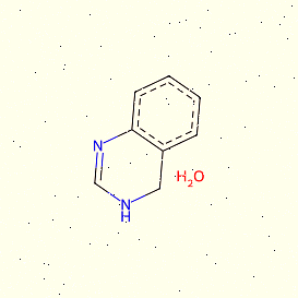 C1=Nc2ccccc2CN1.O